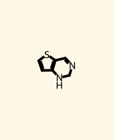 C1=NCNc2ccsc21